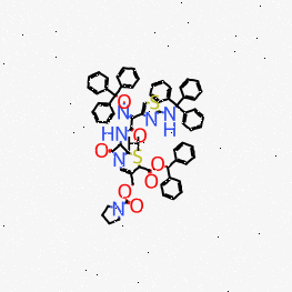 O=C(NC1C(=O)N2C=C(COC(=O)N3CCCC3)C(C(=O)OC(c3ccccc3)c3ccccc3)S[C@H]12)C(=NOC(c1ccccc1)(c1ccccc1)c1ccccc1)c1csc(NC(c2ccccc2)(c2ccccc2)c2ccccc2)n1